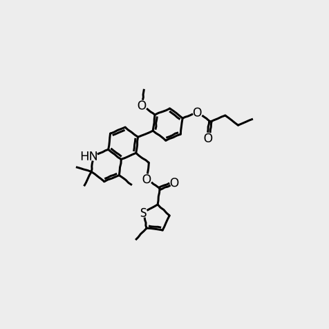 CCCC(=O)Oc1ccc(-c2ccc3c(c2COC(=O)C2CC=C(C)S2)C(C)=CC(C)(C)N3)c(OC)c1